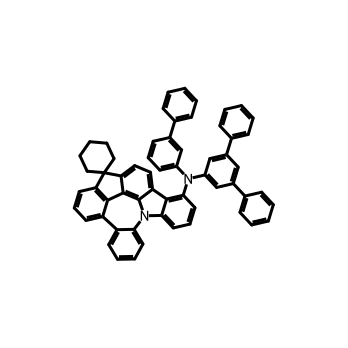 c1ccc(-c2cccc(N(c3cc(-c4ccccc4)cc(-c4ccccc4)c3)c3cccc4c3c3ccc5c6c3n4-c3ccccc3-c3cccc(c3-6)C53CCCCC3)c2)cc1